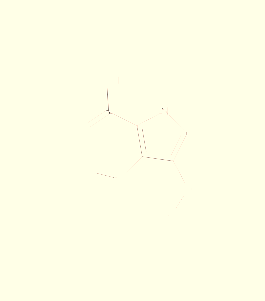 COc1c[nH]c(C(=O)O)c1OC